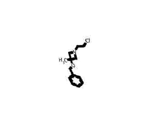 CC1(OCc2ccccc2)CN(CCCl)C1